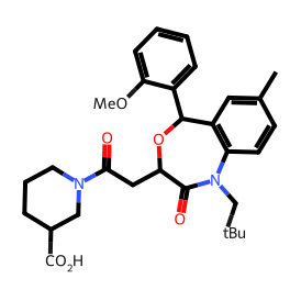 COc1ccccc1C1OC(CC(=O)N2CCCC(C(=O)O)C2)C(=O)N(CC(C)(C)C)c2ccc(C)cc21